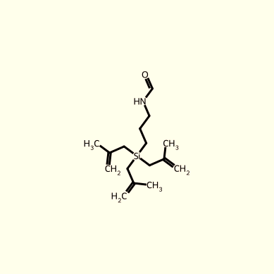 C=C(C)C[Si](CCCNC=O)(CC(=C)C)CC(=C)C